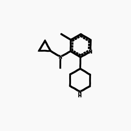 Cc1ccnc(C2CCNCC2)c1N(C)C1CC1